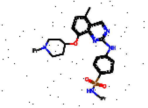 Cc1ccc(OC2CCN(C(C)C)CC2)c2nc(Nc3ccc(S(=O)(=O)NC(C)C)cc3)ncc12